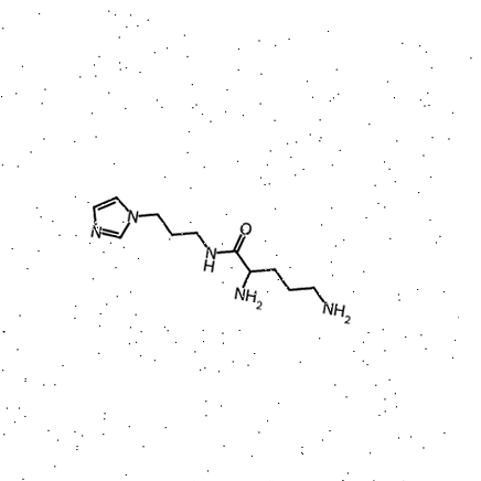 NCCCC(N)C(=O)NCCCn1ccnc1